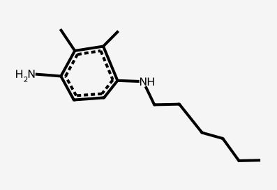 CCCCCCNc1ccc(N)c(C)c1C